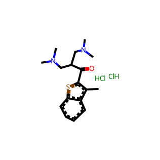 Cc1c(C(=O)C(CN(C)C)CN(C)C)sc2ccccc12.Cl.Cl